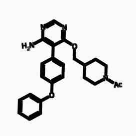 CC(=O)N1CCC(COc2ncnc(N)c2-c2ccc(Oc3ccccc3)cc2)CC1